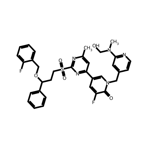 Cc1cc(-c2cc(F)c(=O)n(Cc3ccnc(N(C)CO)c3)c2)nc(S(=O)(=O)CCC(OCc2ccccc2F)c2ccccc2)n1